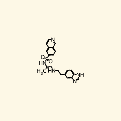 C[C@H](CNCCc1ccc2[nH]cnc2c1)NS(=O)(=O)c1ccc2cnccc2c1